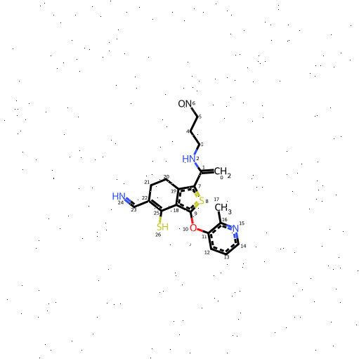 C=C(NCCCN=O)c1sc(Oc2cccnc2C)c2c1CCC(C=N)=C2S